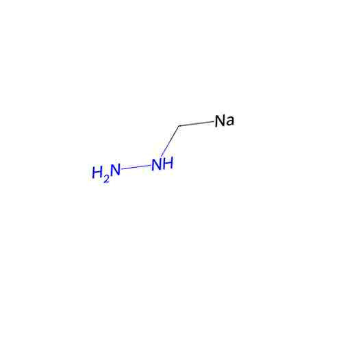 NN[CH2][Na]